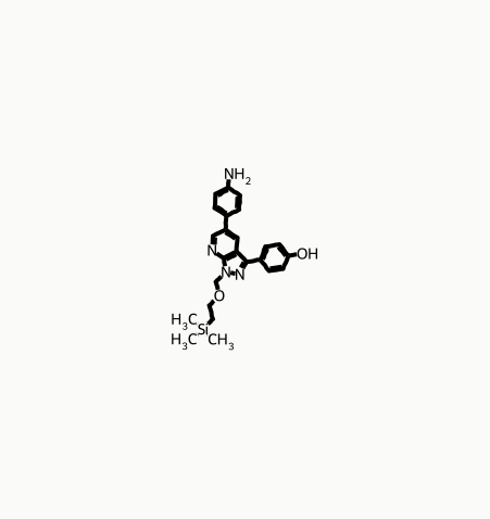 C[Si](C)(C)CCOCn1nc(-c2ccc(O)cc2)c2cc(-c3ccc(N)cc3)cnc21